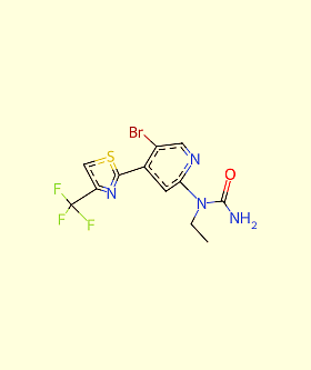 CCN(C(N)=O)c1cc(-c2nc(C(F)(F)F)cs2)c(Br)cn1